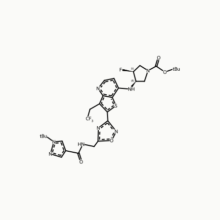 CC(C)(C)OC(=O)N1C[C@H](F)[C@H](Nc2ccnc3c(CC(F)(F)F)c(-c4noc(CNC(=O)c5cnn(C(C)(C)C)c5)n4)sc23)C1